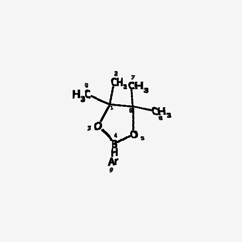 CC1(C)OBOC1(C)C.[Ar]